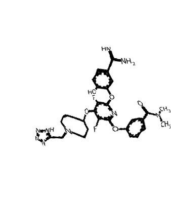 CN(C)C(=O)c1cccc(Oc2nc(Oc3cc(C(=N)N)ccc3O)c(F)c(OC3CCN(Cc4nnn[nH]4)CC3)c2F)c1